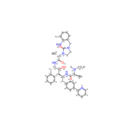 Cc1cccc(CN2CCN([C@H](C(=O)N[C@@H](Cc3ccccc3)[C@@H](O)C[C@H](Cc3ccc(-c4ccccn4)cc3)NC(=O)[C@@H](N(C)C(=O)O)C(C)(C)C)C(C)(C)C)C2=O)c1N